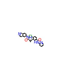 O=C(Nc1ccccn1)c1ccc(Cl)c(C2CC2C(=O)Nc2ccc3cnccc3c2)c1